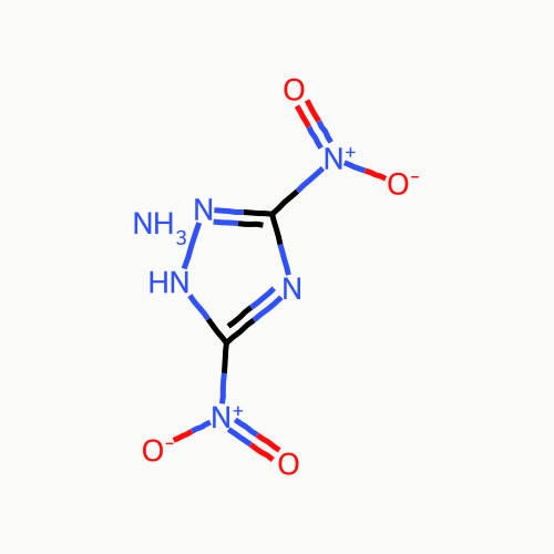 N.O=[N+]([O-])c1n[nH]c([N+](=O)[O-])n1